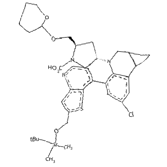 CC(C)(C)[Si](C)(C)OCc1cc2nccc(-c3cc(Cl)cc4c3N([C@H]3C[C@H](COC5CCCCO5)N(C(=O)O)C3)CC3CC43)c2s1